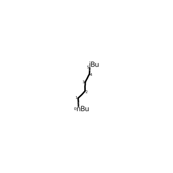 [CH2]CCCCCCCC([CH2])CC